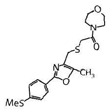 CSc1ccc(-c2nc(CSCC(=O)N3CCOCC3)c(C)o2)cc1